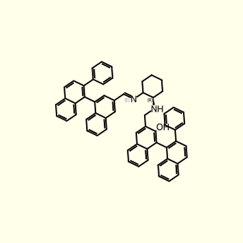 Oc1c(CN[C@@H]2CCCCC2/N=C/c2cc(-c3c(-c4ccccc4)ccc4ccccc34)c3ccccc3c2)cc2ccccc2c1-c1c(-c2ccccc2)ccc2ccccc12